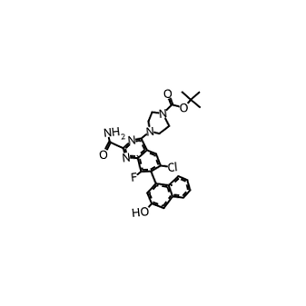 CC(C)(C)OC(=O)N1CCN(c2nc(C(N)=O)nc3c(F)c(-c4cc(O)cc5ccccc45)c(Cl)cc23)CC1